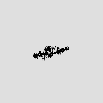 COC(=O)NC(C(=O)N[C@@H](Cc1ccc(C#Cc2cnc(N3CCN(C4COC4)CC3)nc2)cc1)[C@@H](O)CNCc1c(F)cc(-c2ncccn2)cc1F)C(C)(C)C(F)(F)F